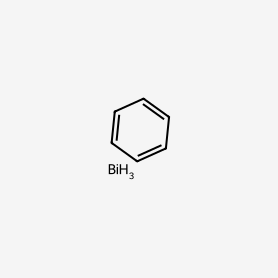 [BiH3].c1ccccc1